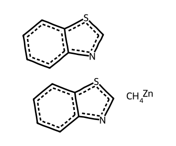 C.[Zn].c1ccc2scnc2c1.c1ccc2scnc2c1